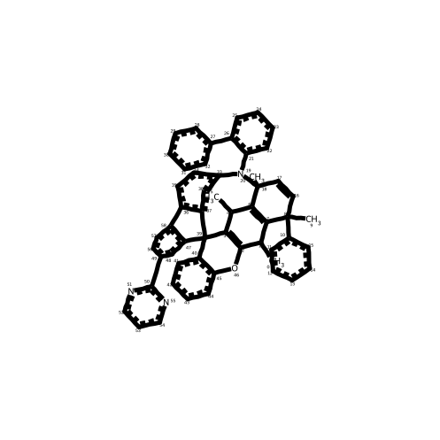 CC1C2=C3C(C)C4=C1C(C)(c1ccccc1)C=CC4(C)N(c1ccccc1-c1ccccc1)c1ccc4c(c1)C3(c1ccccc1O2)c1cc(-c2ncccn2)ccc1-4